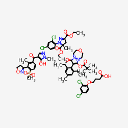 CCOC(=O)C1=NN(c2ccc(Cl)cc2Cl)C(C)(C(=O)OCC)C1.CCc1cc(C)cc(CC)c1-c1c(OC(=O)C(C)(C)C)n2n(c1=O)CCOCC2.Cc1c(C(=O)c2cnn(C)c2O)ccc(S(C)(=O)=O)c1C1=NOCC1.O=C(O)CCCOc1ccc(Cl)cc1Cl